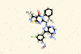 Cc1ccccc1-n1c(Cn2nc(-c3cc(F)cc(N=O)c3)c3c(N)ncnc32)nc2snc(C)c2c1=O